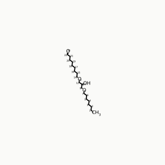 CCCCCCCCOCC(O)COCCCCCCCCC=O